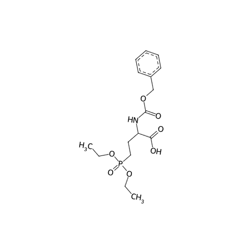 CCOP(=O)(CCC(NC(=O)OCc1ccccc1)C(=O)O)OCC